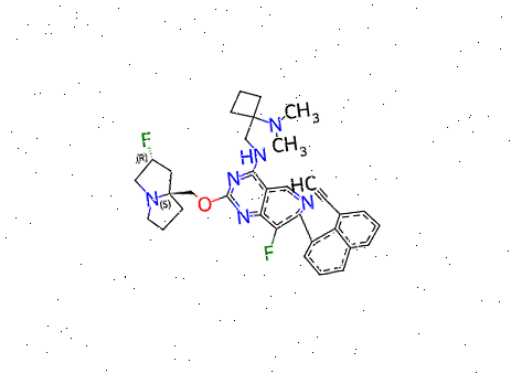 C#Cc1cccc2cccc(-c3ncc4c(NCC5(N(C)C)CCC5)nc(OC[C@@]56CCCN5C[C@H](F)C6)nc4c3F)c12